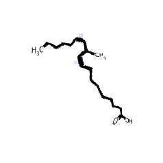 CCCCC/C=C\C(C)/C=C\CCCCCCCC(=O)O